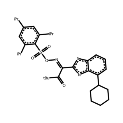 CC(C)c1cc(C(C)C)c(S(=O)(=O)O/N=C(\C(=O)C(C)(C)C)c2nc3c(C4CCCCC4)cccc3s2)c(C(C)C)c1